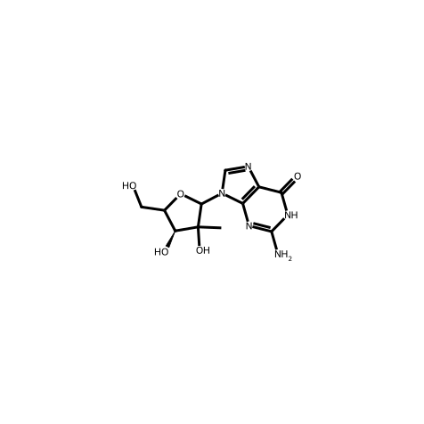 CC1(O)C(n2cnc3c(=O)[nH]c(N)nc32)OC(CO)[C@@H]1O